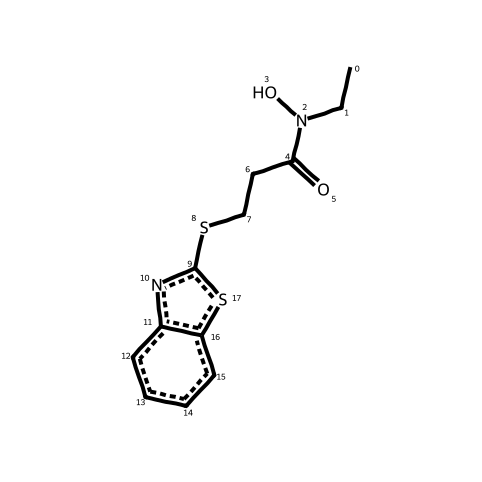 CCN(O)C(=O)CCSc1nc2ccccc2s1